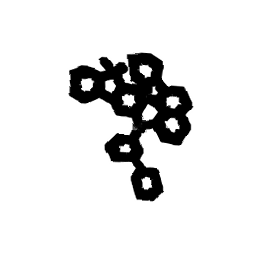 CC1(C)c2ccccc2-c2cc(N(c3cccc(-c4ccccc4)c3)c3cccc4ccc5c6ccccc6oc5c34)ccc21